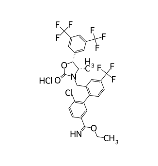 CCOC(=N)c1ccc(Cl)c(-c2ccc(C(F)(F)F)cc2CN2C(=O)O[C@H](c3cc(C(F)(F)F)cc(C(F)(F)F)c3)[C@@H]2C)c1.Cl